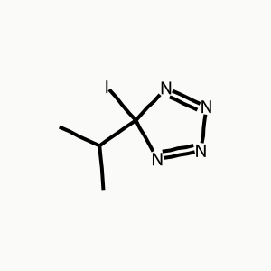 CC(C)C1(I)N=NN=N1